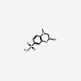 CC(C)C1CN(C)c2ccc(S(N)(=O)=O)cc2O1